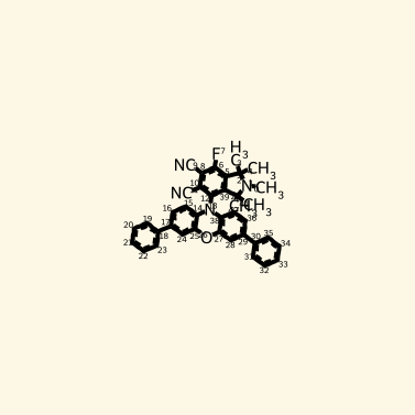 CN1C(C)(C)c2c(F)c(C#N)c(C#N)c(N3c4ccc(-c5ccccc5)cc4Oc4cc(-c5ccccc5)ccc43)c2C1(C)C